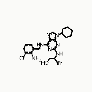 CC(C)C(CO)Nc1nc(NCc2cccc(Cl)c2N)c2ncn(C3CCCCC3)c2n1